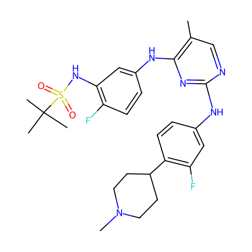 Cc1cnc(Nc2ccc(C3CCN(C)CC3)c(F)c2)nc1Nc1ccc(F)c(NS(=O)(=O)C(C)(C)C)c1